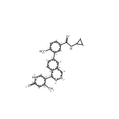 Cc1ccc(C(=O)NC2CC2)cc1-c1ccc2c(-c3c[nH]c(=O)cc3C)nncc2c1